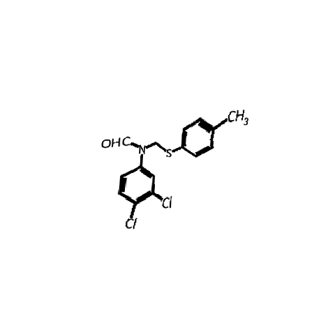 Cc1ccc(SCN(C=O)c2ccc(Cl)c(Cl)c2)cc1